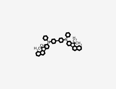 CC1(C)c2cc(N(c3ccccc3)c3ccc(-c4ccc(N(c5ccccc5)c5ccc6c(c5)C(C)(C)c5c-6ccc6ccccc56)cc4)cc3)ccc2-c2ccc3ccccc3c21